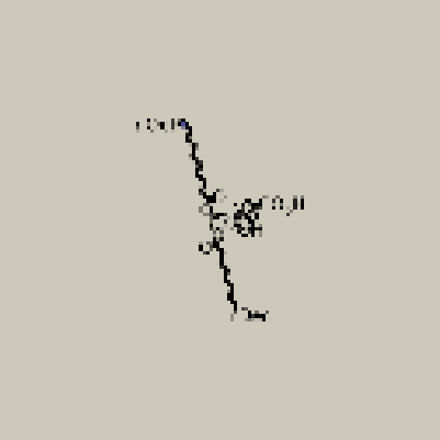 CCCCCCCC/C=C\CCCCCCCC(=O)O[C@H](COC(=O)CCCCCCCCCCCCCCCCC)COP(=O)(O)OC(C)C(=O)O